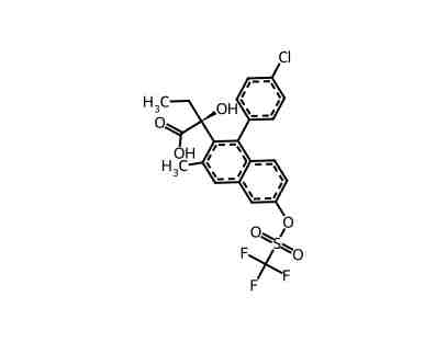 CC[C@@](O)(C(=O)O)c1c(C)cc2cc(OS(=O)(=O)C(F)(F)F)ccc2c1-c1ccc(Cl)cc1